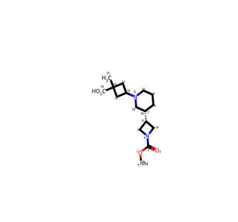 CC(C)(C)OC(=O)N1CC([C@H]2CCCN(C3CC(C)(C(=O)O)C3)C2)C1